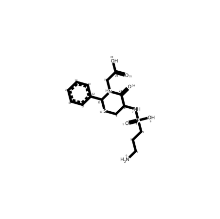 NCCCP(=O)(O)NC1CSC(c2ccccc2)N(CC(=O)O)C1=O